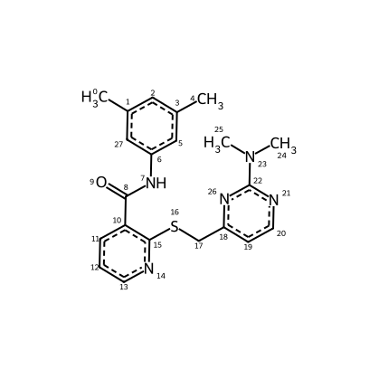 Cc1cc(C)cc(NC(=O)c2cccnc2SCc2ccnc(N(C)C)n2)c1